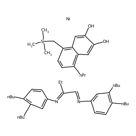 CCCCc1ccc(N=CC(CC)=Nc2ccc(CCCC)c(CCCC)c2)cc1CCCC.CCCc1ccc(C[Si](C)(C)C)c2cc(O)c(O)cc12.[Ni]